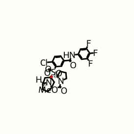 COC(=O)N1CCC[C@H]1C(=O)N1C2CC[C@H]1CC(S(=O)(=O)c1cc(C(=O)Nc3cc(F)c(F)c(F)c3)ccc1Cl)C2